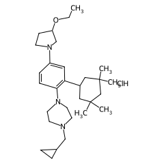 CCOC1CCN(c2ccc(N3CCN(CC4CC4)CC3)c(C3CC(C)(C)CC(C)(C)C3)c2)C1.Cl